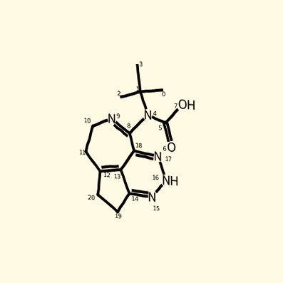 CC(C)(C)N(C(=O)O)C1=NCCC2=C3C(=NNN=C13)CC2